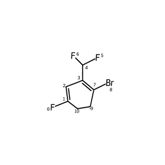 FC1=CC(C(F)F)=C(Br)[CH]C1